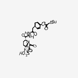 CC(C)(C)C(=O)Oc1ccc(CC(=O)NNC(=O)[C@@H]2CC[C@@H]3CN2C(=O)N3OS(=O)(=O)O)cc1